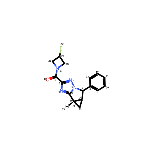 O=C(c1nc2n(n1)C(c1ccccc1)C1C[C@H]21)N1CC(F)C1